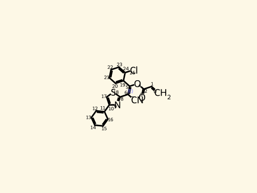 C=CC(=O)O/C(=C(\C#N)c1nc(-c2ccccc2)cs1)c1ccccc1Cl